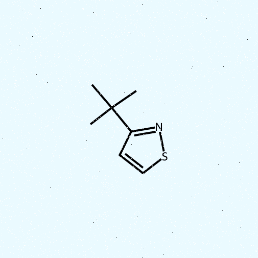 CC(C)(C)c1ccsn1